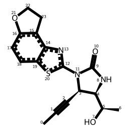 CC#C[C@@H]1[C@H]([C@@H](C)O)NC(=O)N1c1nc2c3c(ccc2s1)OCC3